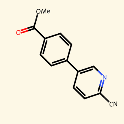 COC(=O)c1ccc(-c2ccc(C#N)nc2)cc1